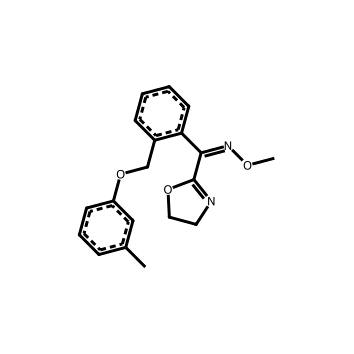 CON=C(C1=NCCO1)c1ccccc1COc1cccc(C)c1